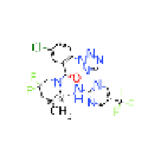 C[C@@H]1CC(F)(F)CN(C(=O)c2cc(Cl)ccc2-n2ncnn2)[C@@H]1CNc1ncc(C(F)(F)F)cn1